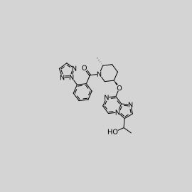 CC(O)c1cnc2c(O[C@@H]3CC[C@@H](C)N(C(=O)c4ccccc4-n4nccn4)C3)nccn12